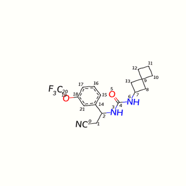 N#CCC(NC(=O)NC1CC2(CCC2)C1)c1cccc(OC(F)(F)F)c1